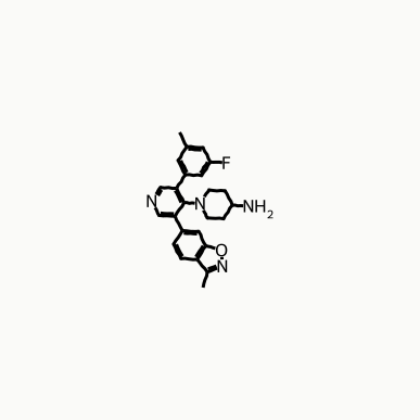 Cc1cc(F)cc(-c2cncc(-c3ccc4c(C)noc4c3)c2N2CCC(N)CC2)c1